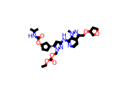 CCOC(=O)OCn1nc(Nc2nccc3c(COC4CCOC4)nn(C)c23)cc1[C@H]1CC[C@@H](OC(=O)NC(C)C)C1